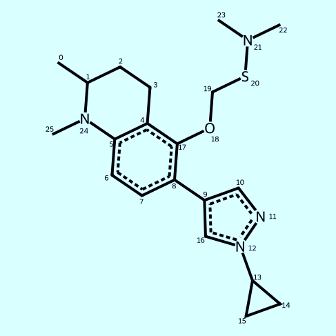 CC1CCc2c(ccc(-c3cnn(C4CC4)c3)c2OCSN(C)C)N1C